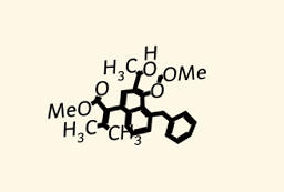 COCOc1c(C(C)O)cc(C(C(=O)OC)=C(C)C)c2cccc(Cc3ccccc3)c12